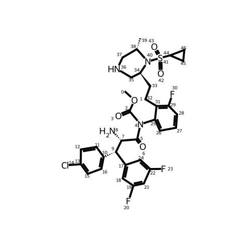 COC(=O)N(C(=O)[C@@H](N)[C@@H](c1ccc(Cl)cc1)c1cc(F)cc(F)c1)c1cccc(F)c1CC[C@H]1CNC[C@H](C)N1S(=O)(=O)C1CC1